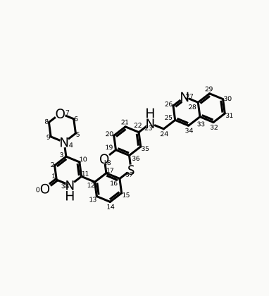 O=c1cc(N2CCOCC2)cc(-c2cccc3c2Oc2ccc(NCc4cnc5ccccc5c4)cc2S3)[nH]1